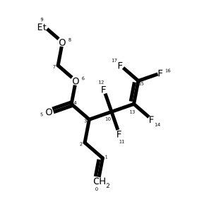 C=CCC(C(=O)OCOCC)C(F)(F)C(F)=C(F)F